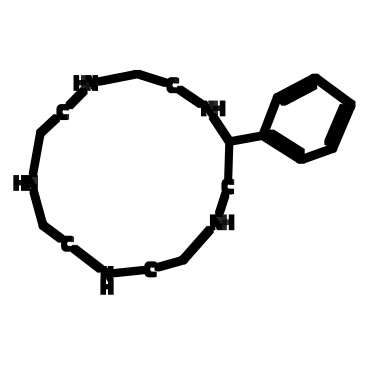 c1ccc(C2CNCCNCCNCCNCCN2)cc1